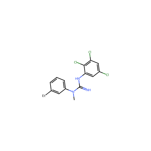 CCc1cccc(N(C)C(=N)Nc2cc(Cl)cc(Cl)c2Cl)c1